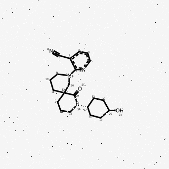 N#Cc1cccnc1N1CCCC2(CCCN([C@H]3CC[C@H](O)CC3)C2=O)C1